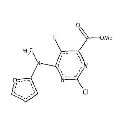 COC(=O)c1nc(Cl)nc(N(C)c2ccco2)c1I